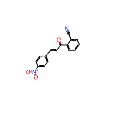 N#Cc1ccccc1C(=O)C=Cc1ccc([N+](=O)[O-])cc1